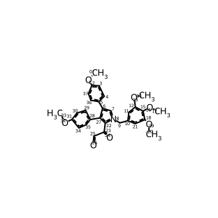 COc1ccc(-c2cn(Cc3cc(OC)c(OC)c(OC)c3)c(C(=O)C=O)c2-c2ccc(OC)cc2)cc1